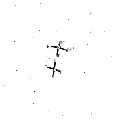 CCC[N+](CC)(CCC)CCC.F[B-](F)(F)F.[H+]